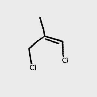 CC(=CCl)CCl